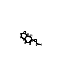 CCOc1ccc2[c]coc2c1